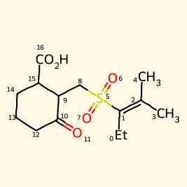 CCC(=C(C)C)S(=O)(=O)CC1C(=O)CCCC1C(=O)O